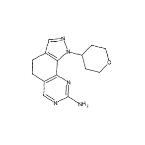 Nc1ncc2c(n1)-c1c(cnn1C1CCOCC1)CC2